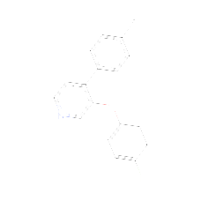 CC(=O)c1ccc(-c2ccncc2OC2=CC=C(F)CC2)cc1